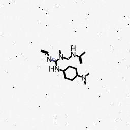 C=C/N=C(/NC1CCC(N(C)C)CC1)N(C)CNC(=C)C